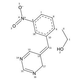 CCO.O=[N+]([O-])c1cccc(C=C2C=NC=NC2)c1